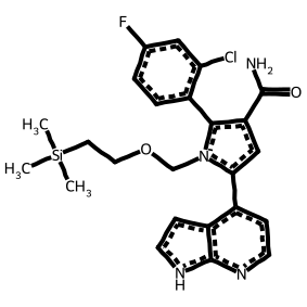 C[Si](C)(C)CCOCn1c(-c2ccnc3[nH]ccc23)cc(C(N)=O)c1-c1ccc(F)cc1Cl